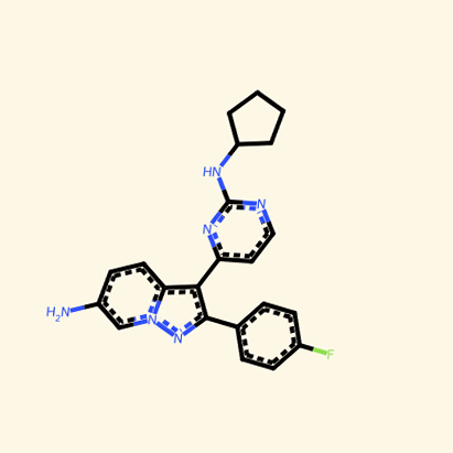 Nc1ccc2c(-c3ccnc(NC4CCCC4)n3)c(-c3ccc(F)cc3)nn2c1